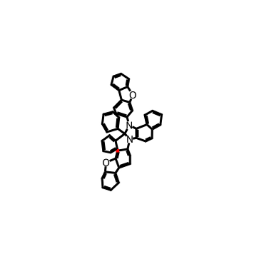 c1ccc(C2(c3ccccc3)N(c3ccc4c(c3)oc3ccccc34)c3ccc4ccccc4c3N2c2ccc3c(c2)oc2ccccc23)cc1